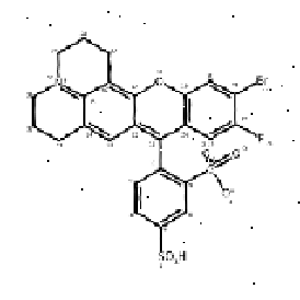 O=S(=O)([O-])c1cc(S(=O)(=O)O)ccc1C1=c2cc3c4c(c2Oc2cc(Br)c(F)cc21)CCC[N+]=4CCC3